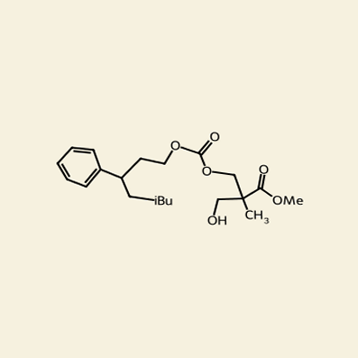 CCC(C)CC(CCOC(=O)OCC(C)(CO)C(=O)OC)c1ccccc1